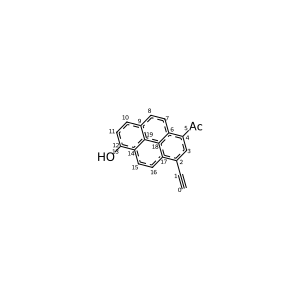 C#Cc1cc(C(C)=O)c2ccc3ccc(O)c4ccc1c2c34